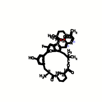 C=C(/C=N\C(=C\c1c2c3cc(c(F)cc3n1CC(F)(F)F)-c1cc(O)cc(c1)C[C@H](N)C(=O)N1CCC[C@H](N1)C(=O)OCC(C)(C)C2)[C@H](C)OC)N1CCN(C)CC1